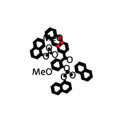 COc1ccc(C(=O)c2ccc(OC)cc2OP(Oc2cccc3ccccc23)Oc2cccc3ccccc23)c(OP(Oc2cccc3ccccc23)Oc2cccc3ccccc23)c1